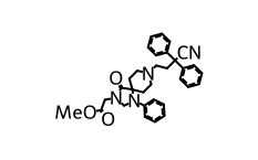 COC(=O)CN1CN(c2ccccc2)C2(CCN(CCC(C#N)(c3ccccc3)c3ccccc3)CC2)C1=O